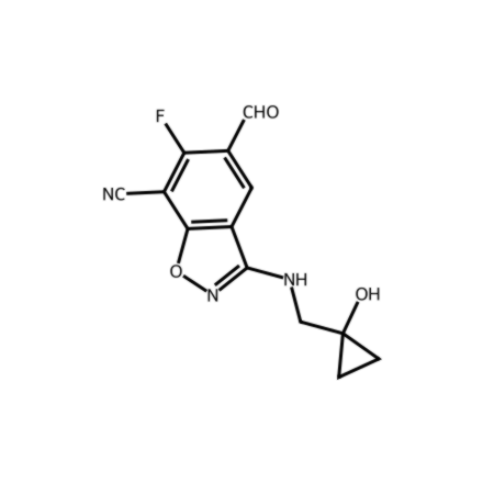 N#Cc1c(F)c(C=O)cc2c(NCC3(O)CC3)noc12